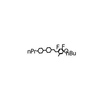 CCCCOc1cc(C)c(CCC2CCC(C3CCC(CCC)CC3)CC2)c(F)c1F